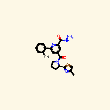 Cc1csc([C@H]2CCCN2C(=O)c2cc(C(=O)NN)nc(-c3ccccc3C#N)c2)n1